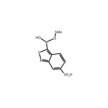 CSON(O)c1snc2cc(S(=O)(=O)O)ccc12